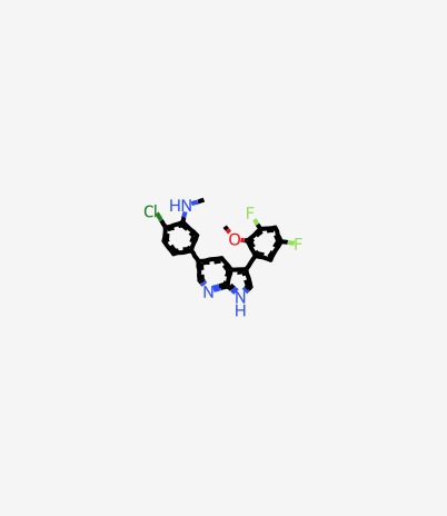 CNc1cc(-c2cnc3[nH]cc(-c4cc(F)cc(F)c4OC)c3c2)ccc1Cl